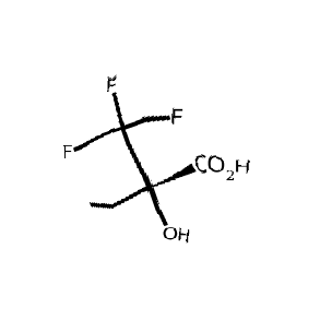 C[C@](O)(C(=O)O)C(F)(F)F